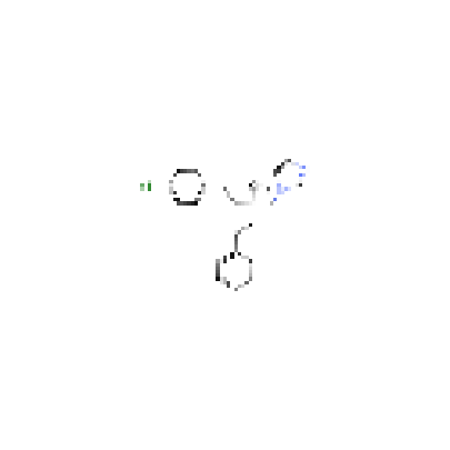 CC(CCc1ccccc1)(CCc1ccc(Cl)cc1)Cn1ccnc1